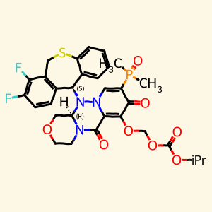 CC(C)OC(=O)OCOc1c2n(cc(P(C)(C)=O)c1=O)N([C@@H]1c3ccccc3SCc3c1ccc(F)c3F)[C@@H]1COCCN1C2=O